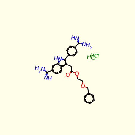 Cl.Cl.N=C(N)c1ccc(-c2[nH]c3cc(C(=N)N)ccc3c2CC(=O)OCCOCc2ccccc2)cc1